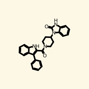 O=C(c1[nH]c2ccccc2c1-c1ccccc1)N1CCC(n2c(=O)[nH]c3ccccc32)CC1